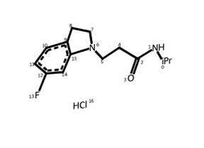 CC(C)NC(=O)CCN1CCc2ccc(F)cc21.Cl